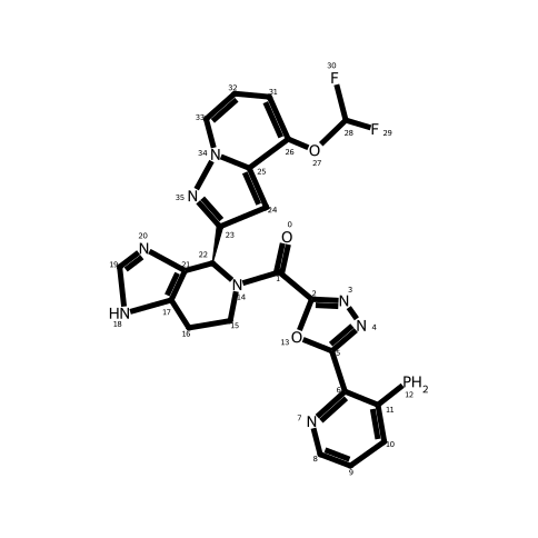 O=C(c1nnc(-c2ncccc2P)o1)N1CCc2[nH]cnc2[C@H]1c1cc2c(OC(F)F)cccn2n1